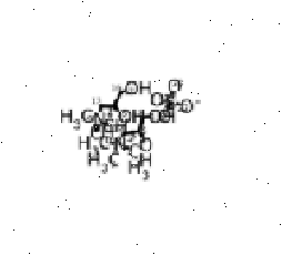 C[N+](C)(C)CC(O)CO.C[N+](C)(C)CC(O)CO.O=S(=O)([O-])[O-]